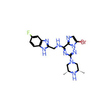 C[C@@H]1CN(c2nc(NCc3nc4cc(F)ccc4[nH]3)c3ncc(Br)n3n2)C[C@H](C)N1